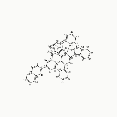 c1ccc(-c2nc(-c3ccc4ccccc4c3)cc(-c3ccccc3-c3ccc4c(c3)-c3c(oc5ccccc35)C43c4ccccc4-c4ccccc43)n2)cc1